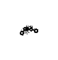 C[C]1([Zr]([CH3])([CH3])[C]2(C)C=CC(c3ccccc3)=C2)C=CC(c2ccccc2)=C1